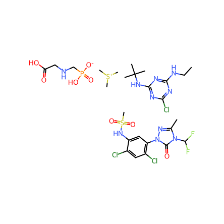 CCNc1nc(Cl)nc(NC(C)(C)C)n1.C[S+](C)C.Cc1nn(-c2cc(NS(C)(=O)=O)c(Cl)cc2Cl)c(=O)n1C(F)F.O=C(O)CNCP(=O)([O-])O